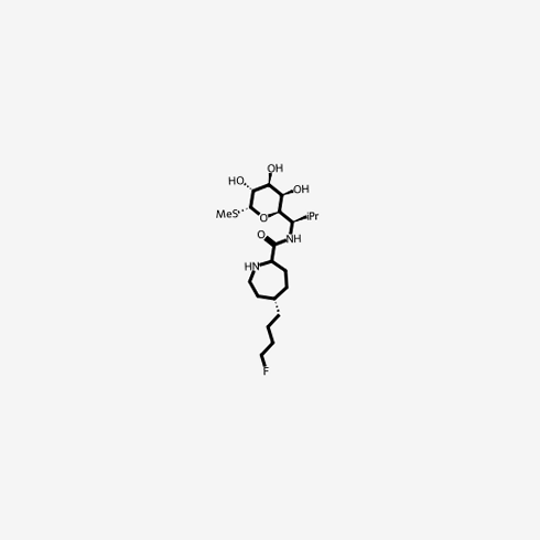 CS[C@H]1O[C@H]([C@H](NC(=O)C2CC[C@H](CCCCF)CCN2)C(C)C)[C@H](O)[C@H](O)[C@H]1O